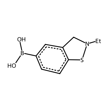 CCN1Cc2cc(B(O)O)ccc2S1